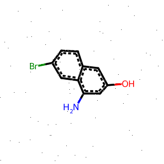 Nc1cc(O)cc2ccc(Br)cc12